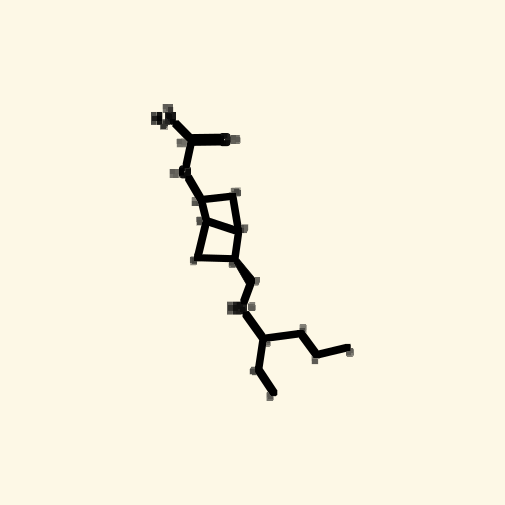 CCCC(CC)NC[C@H]1CC2C(OC(N)=O)CC21